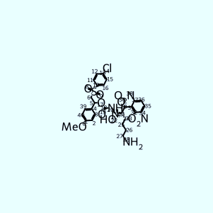 COc1ccc(C(CS(=O)(=O)c2ccc(Cl)cc2)OC(=O)NN(O)[C@@H](CCCCN)C(=O)c2c([N+](=O)[O-])cccc2[N+](=O)[O-])cc1